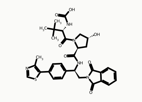 Cc1ncsc1-c1ccc([C@H](CN2C(=O)c3ccccc3C2=O)NC(=O)[C@@H]2C[C@@H](O)CN2C(=O)[C@@H](NC(=O)O)C(C)(C)C)cc1